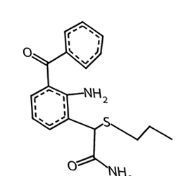 CCCSC(C(N)=O)c1cccc(C(=O)c2ccccc2)c1N